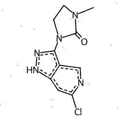 CN1CCN(c2n[nH]c3cc(Cl)ncc23)C1=O